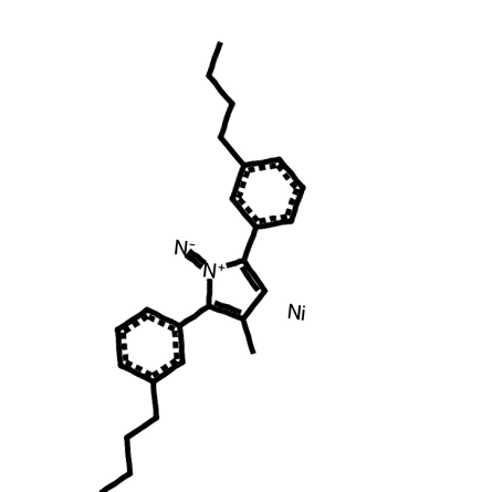 CCCCc1cccc(C2=CC(C)=C(c3cccc(CCCC)c3)[N+]2=[N-])c1.[Ni]